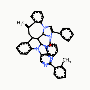 C=C1CC2c3ccccc3N3c4cnc(-c5ccccc5C)nc4N(C)C3C2C2N(C=C(c3ccccc3)N2c2ccccc2)c2ccccc21